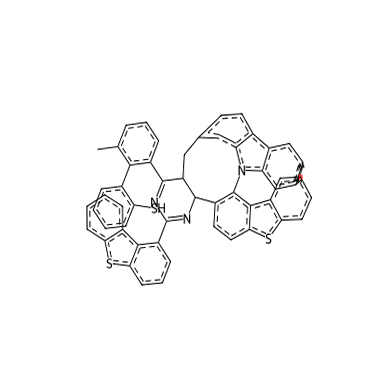 Cc1cccc(C2=NC(c3cccc4sc5ccccc5c34)=NC3c4ccc5sc6ccccc6c5c4-n4c5cc(ccc5c5cc6ccccc6cc54)CC23)c1-c1ccccc1S